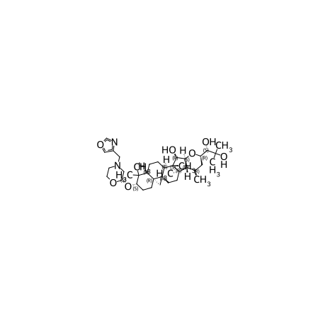 C[C@@H]1C[C@H]([C@H](O)C(C)(C)O)O[C@H]2[C@H]1[C@@]1(C)CC[C@@]34C[C@@]35CC[C@H](O[C@H]3CN(Cc6cocn6)CCO3)C(C)(C)[C@@H]5CC[C@H]4[C@]1(C)[C@H]2O